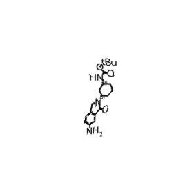 CC(C)(C)OC(=O)N[C@@H]1CCC[C@H](N2Cc3ccc(N)cc3C2=O)C1